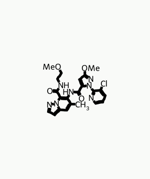 COCCNC(=O)c1c(NC(=O)c2cc(OC)nn2-c2ncccc2Cl)c(C)cc2ccnn12